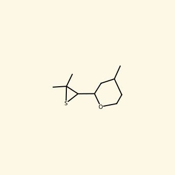 CC1CCOC(C2SC2(C)C)C1